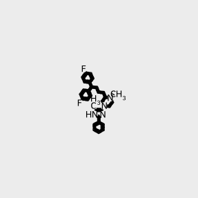 Cc1[nH]c(-c2ccccc2)nc1N1CCN(C)C(CCCC(c2ccc(F)cc2)c2ccc(F)cc2)C1